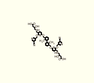 Cc1c(COc2ccc(CNC[C@@H](O)CC(=O)O)c(OCc3cncc(C#N)c3)n2)cccc1-c1cccc(COc2ccc(CNC[C@@H](O)CC(=O)O)c(OCc3cncc(C#N)c3)n2)c1C